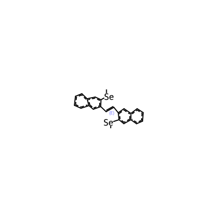 C[Se]c1cc2ccccc2cc1/C=C/c1cc2ccccc2cc1[Se]C